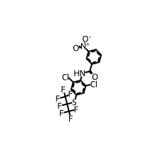 O=C(Nc1c(Cl)cc(SC(F)(C(F)(F)F)C(F)(F)F)cc1Cl)c1cccc([N+](=O)[O-])c1